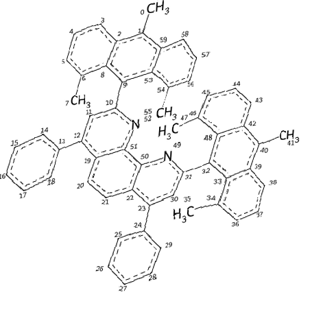 Cc1c2cccc(C)c2c(-c2cc(-c3ccccc3)c3ccc4c(-c5ccccc5)cc(-c5c6c(C)cccc6c(C)c6cccc(C)c56)nc4c3n2)c2c(C)cccc12